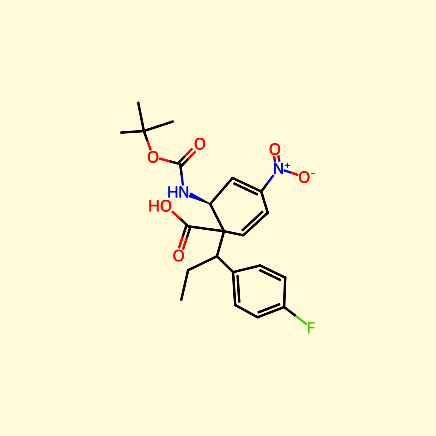 CCC(c1ccc(F)cc1)C1(C(=O)O)C=CC([N+](=O)[O-])=C[C@@H]1NC(=O)OC(C)(C)C